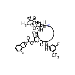 CC1(S(=O)(=O)NC(=O)[C@@]23C[C@H]2/C=C\CCCCC[C@H](Nc2cc(F)cc(C(F)(F)F)c2)C(=O)N2C[C@H](OC(=O)N4Cc5cccc(F)c5C4)C[C@H]2C(=O)N3)CC1